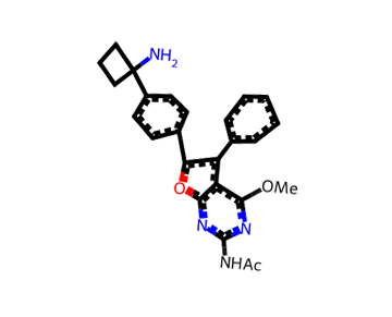 COc1nc(NC(C)=O)nc2oc(-c3ccc(C4(N)CCC4)cc3)c(-c3ccccc3)c12